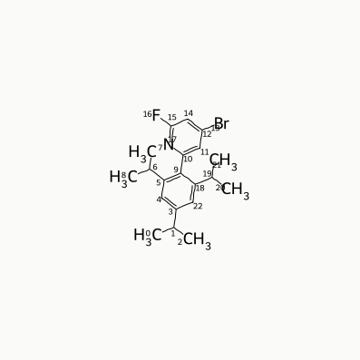 CC(C)c1cc(C(C)C)c(-c2cc(Br)cc(F)n2)c(C(C)C)c1